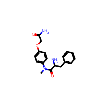 CN(C(=O)C(N)Cc1ccccc1)c1ccc(OCC(N)=O)cc1